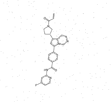 C=CC(=O)N1CCC(c2cc(-c3ccc(C(=O)Nc4cc(F)ccn4)cc3)n3cnccc23)C1